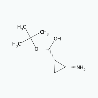 CC(C)(C)OC(O)[C@H]1C[C@H]1N